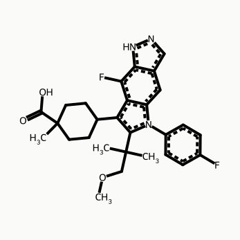 COCC(C)(C)c1c(C2CCC(C)(C(=O)O)CC2)c2c(F)c3[nH]ncc3cc2n1-c1ccc(F)cc1